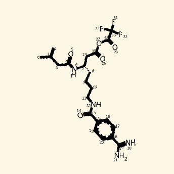 CC(C)CC(=O)N[C@@H](CCCCNC(=O)c1ccc(C(=N)N)cc1)CC(=O)OC(=O)C(F)(F)F